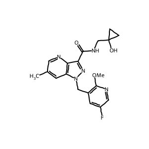 COc1ncc(F)cc1Cn1nc(C(=O)NCC2(O)CC2)c2ncc(C)cc21